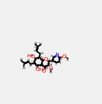 COc1ccc(-c2oc3c(CC=C(C)C)c(O)c(CC=C(C)C)c(O)c3c(=O)c2OC)cn1